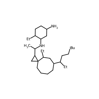 CCC(C)CCC(CC)C1CCCCC2(CC2C(C)NC2CC(N)CCC2CC)C(CC)C1